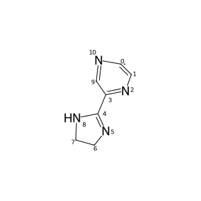 [c]1cnc(C2=NCCN2)cn1